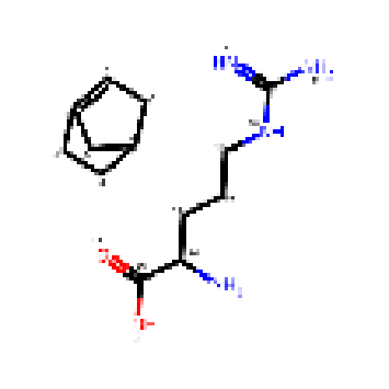 C1=C2CCC(C1)C2.N=C(N)NCCCC(N)C(=O)O